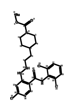 CC(C)(C)OC(=O)N1CCC(CCNNc2nc(Cl)ncc2C(=O)Nc2c(Cl)cccc2Cl)CC1